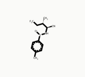 Cc1ccc([S+]([O-])N[C@H](C#N)[C@@H](C)CC(F)(F)F)cc1